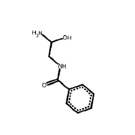 NC(O)CNC(=O)c1ccccc1